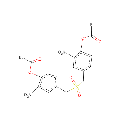 CCC(=O)Oc1ccc(CS(=O)(=O)Cc2ccc(OC(=O)CC)c([N+](=O)[O-])c2)cc1[N+](=O)[O-]